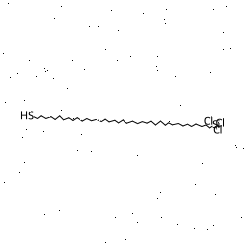 SCCCCCCCCCCCCCCCCCCCCCCCCCCCCCCCCCCCCCCC[Si](Cl)(Cl)Cl